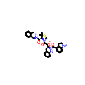 Cc1ccccc1CNC(=O)[C@H]1N(C(=O)[C@@H](O)[C@H](Cc2ccccc2)NC(=O)c2cccc3c2CCN3)CSC1(C)C